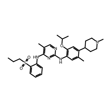 CCCS(=O)(=O)c1ccccc1Nc1nc(Nc2cc(C)c(C3CCN(C)CC3)cc2OC(C)C)ncc1C